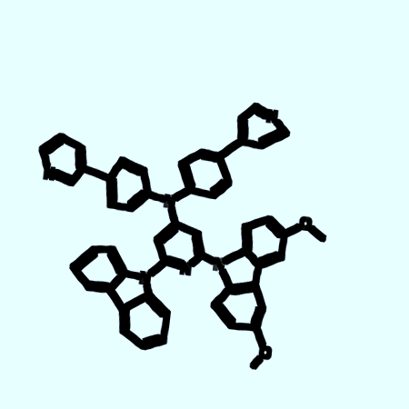 COc1ccc2c(c1)c1cc(OC)ccc1n2-c1cc(N(c2ccc(-c3ccncc3)cc2)c2ccc(-c3cccnc3)cc2)cc(-n2c3ccccc3c3ccccc32)n1